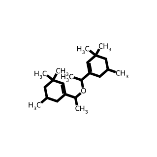 CC1CC(C(C)OC(C)C2=CC(C)(C)CC(C)C2)=CC(C)(C)C1